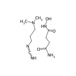 CN(C)CCCN=C=N.NC(=O)CCC(=O)NO